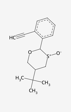 C#Cc1ccccc1C1OCC(C(C)(C)C)C[S+]1[O-]